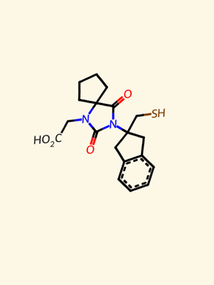 O=C(O)CN1C(=O)N(C2(CS)Cc3ccccc3C2)C(=O)C12CCCC2